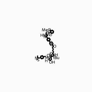 COc1cccc(F)c1-c1ncc2[nH]nc(-c3ccc(N4CCN(C(=O)CCCCC(=O)N[C@H](C(=O)N5C[C@H](O)C[C@H]5C(=O)NCc5ccc(-c6scnc6C)cc5)C(C)(C)C)CC4)cc3)c2n1